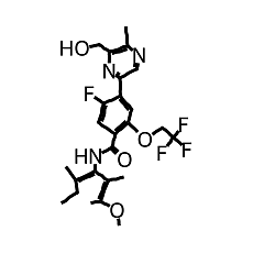 CC/C(C)=C(NC(=O)c1cc(F)c(-c2cnc(C)c(CO)n2)cc1OCC(F)(F)F)\C(C)=C(/C)OC